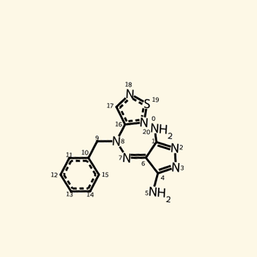 NC1=NN=C(N)C1=NN(Cc1ccccc1)c1cnsn1